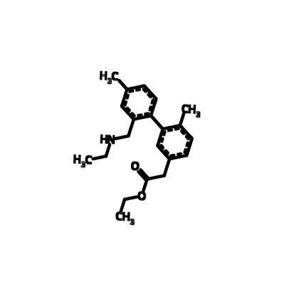 CCNCc1cc(C)ccc1-c1cc(CC(=O)OCC)ccc1C